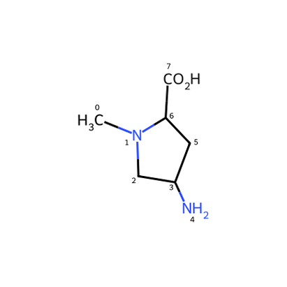 CN1CC(N)CC1C(=O)O